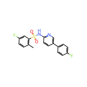 Cc1ccc(F)cc1S(=O)(=O)Nc1ccc(-c2ccc(F)cc2)cn1